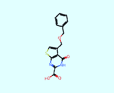 O=C(O)c1nc2scc(COCc3ccccc3)c2c(=O)[nH]1